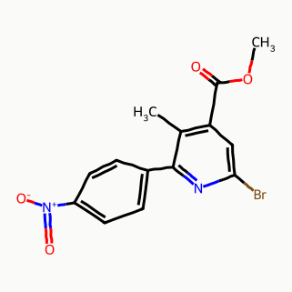 COC(=O)c1cc(Br)nc(-c2ccc([N+](=O)[O-])cc2)c1C